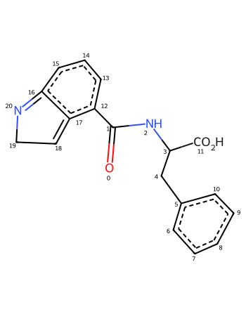 O=C(NC(Cc1ccccc1)C(=O)O)c1cccc2c1=CCN=2